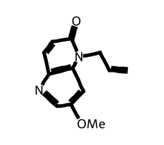 C=CCn1c(=O)ccc2ncc(OC)cc21